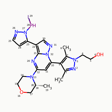 Cc1nn(CCO)c(C)c1-c1cc(N2CCOC[C@H]2C)nc2c(-c3ccnn3PI)cnn12